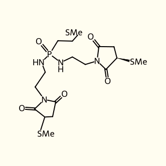 CSCCP(=O)(NCCN1C(=O)CC(SC)C1=O)NCCN1C(=O)C[C@@H](SC)C1=O